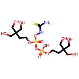 NC(=S)NOP(=O)(OCCC(CO)(CO)CO)OP(=O)(O)OCCC(CO)(CO)CO